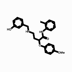 COc1ccc(OC(CCNCc2cccc(O)c2)C(=O)Nc2ccccc2I)cc1